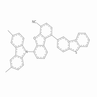 Cc1ccc2c(c1)c1cc(C)ccc1n2-c1cccc2c1oc1c(C#N)ccc(-c3ccc4sc5ccccc5c4c3)c12